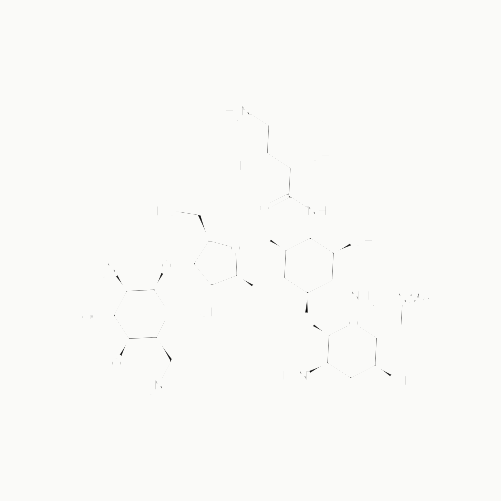 CNC[C@H]1O[C@H](O[C@@H]2[C@@H](N)[C@H](O)[C@@H](NC(=O)[C@@H](O)[C@H](F)CN)[C@H](O)[C@H]2O[C@@H]2O[C@H](CO)[C@@H](O[C@H]3O[C@@H](CN)[C@@H](O)[C@H](O)[C@H]3N)[C@H]2O)[C@H](N)C[C@@H]1O